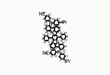 CC(C)c1ccc(N(c2ccc(C#N)cc2)c2cccc3c2c2cccc4c5c(-c6ccccc6)c6c(c(-c7ccccc7)c5n3c24)c2cccc3c4c(N(c5ccc(C#N)cc5)c5ccc(C(C)C)cc5)cccc4n6c32)cc1